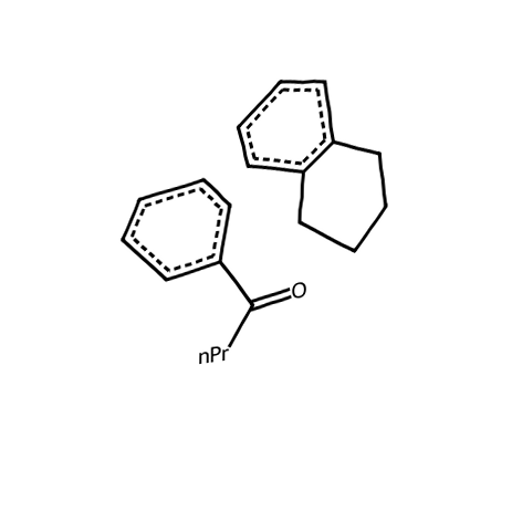 CCCC(=O)c1ccccc1.c1ccc2c(c1)CCCC2